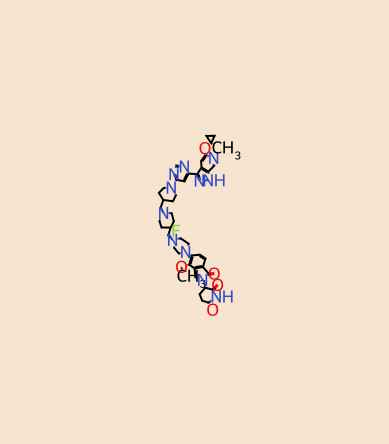 COc1c(N2CCN(CC3(F)CCN(CC4CCN(c5cc(-c6n[nH]c7cnc(OC8(C)CC8)cc67)ncn5)CC4)CC3)CC2)ccc2c1CN(C1CCC(=O)NC1=O)C2=O